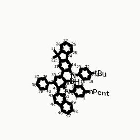 CCCCCc1ccc2c(c1)Bc1c(-c3cc4c(cc3Nc3ccc(C(C)(C)C)cc3)-c3ccccc3C4(C)C)cc(-c3ccccc3)c3c4ccc5ccccc5c4n-2c13